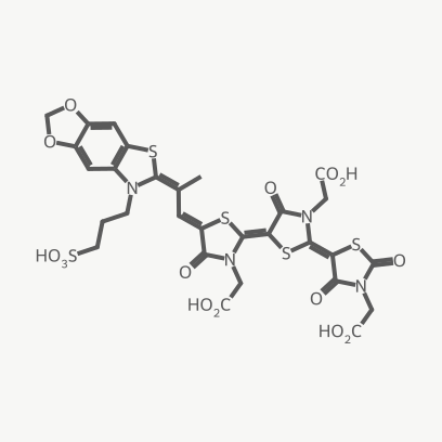 C/C(C=c1s/c(=c2/s/c(=C3/SC(=O)N(CC(=O)O)C3=O)n(CC(=O)O)c2=O)n(CC(=O)O)c1=O)=C1\Sc2cc3c(cc2N1CCCS(=O)(=O)O)OCO3